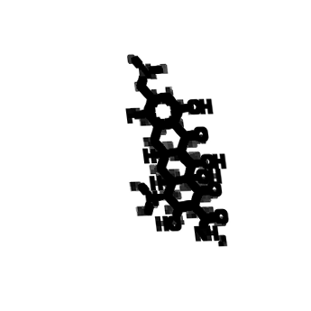 CN(C)Cc1cc(O)c2c(c1F)C[C@H]1C[C@H]3[C@H](N(C)C)C(O)=C(C(N)=O)C(=O)[C@@]3(O)C(O)=C1C2=O